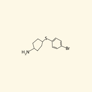 NC1CCC(Sc2ccc(Br)cc2)CC1